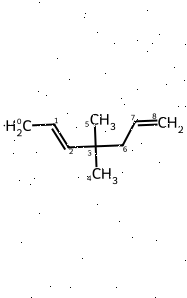 [CH2]C=CC(C)(C)CC=C